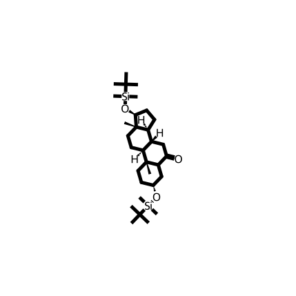 CC(C)(C)[Si](C)(C)O[C@@H]1CC[C@@]2(C)C(C1)C(=O)C[C@H]1[C@@H]3CC[C@H](O[Si](C)(C)C(C)(C)C)[C@@]3(C)CC[C@@H]12